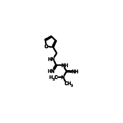 CN(C)C(=N)NC(=N)NCc1ccco1